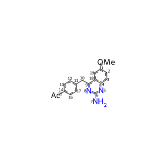 COc1ccc2nc(N)nc(Cc3ccc(C(C)=O)cc3)c2c1